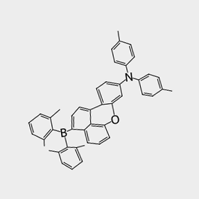 Cc1ccc(N(c2ccc(C)cc2)c2ccc3c(c2)Oc2cccc4c(B(c5c(C)cccc5C)c5c(C)cccc5C)ccc-3c24)cc1